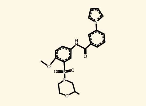 COc1ccc(NC(=O)c2cccc(-n3cccc3)c2)cc1S(=O)(=O)N1CCOC(C)C1